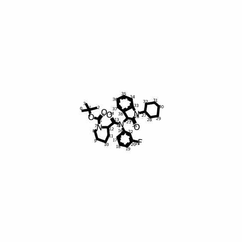 CC(C)(C)OC(=O)N1CCCCC1C(=O)N(c1cccc(F)c1)C1C(=O)N(C2CCCCC2)c2ccccc21